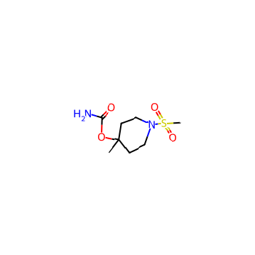 CC1(OC(N)=O)CCN(S(C)(=O)=O)CC1